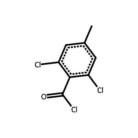 Cc1cc(Cl)c(C(=O)Cl)c(Cl)c1